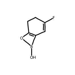 OB1OC2=C1C=C(F)CC2